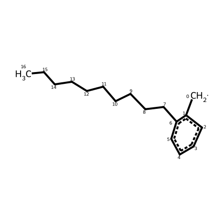 [CH2]c1ccccc1CCCCCCCCCC